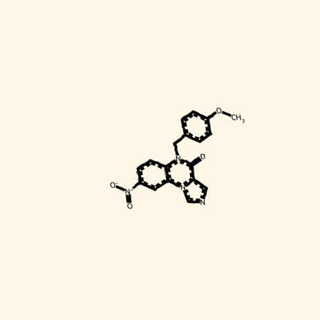 COc1ccc(Cn2c(=O)c3cncn3c3cc([N+](=O)[O-])ccc32)cc1